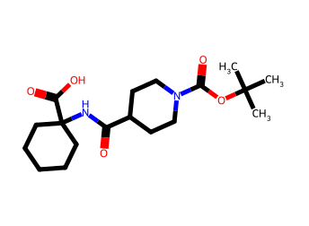 CC(C)(C)OC(=O)N1CCC(C(=O)NC2(C(=O)O)CCCCC2)CC1